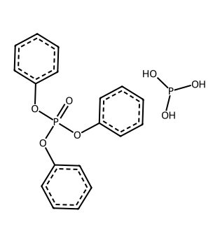 O=P(Oc1ccccc1)(Oc1ccccc1)Oc1ccccc1.OP(O)O